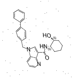 O=C(N[C@H]1CCCC[C@@H]1O)c1cn(Cc2ccc(-c3ccccc3)cc2)c2cccnc12